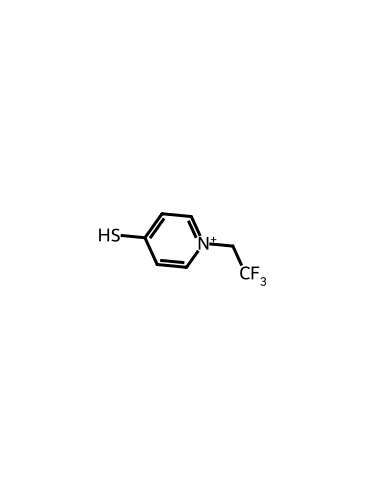 FC(F)(F)C[n+]1ccc(S)cc1